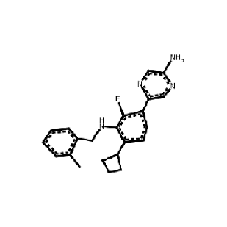 Cc1ccccc1CNc1c(C2CCC2)ccc(-c2cnc(N)cn2)c1F